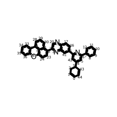 C1=CCC(c2cc(-c3ccccc3)nc(-c3ccc4ncc(-c5ccc6c7c(cccc57)-c5ccccc5O6)nc4c3)c2)C=C1